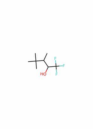 CC(C(O)C(F)(F)F)C(C)(C)C